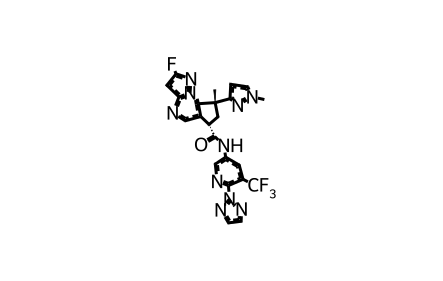 Cn1ccc([C@]2(C)C[C@H](C(=O)Nc3cnc(-n4nccn4)c(C(F)(F)F)c3)c3cnc4cc(F)nn4c32)n1